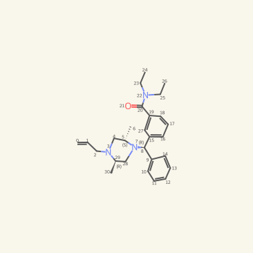 C=CCN1C[C@H](C)N([C@H](c2ccccc2)c2cccc(C(=O)N(CC)CC)c2)C[C@H]1C